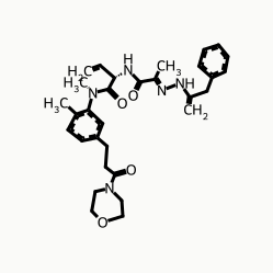 C=C[C@H](NC(=O)/C(C)=N/NC(=C)Cc1ccccc1)C(=O)N(C)c1cc(CCC(=O)N2CCOCC2)ccc1C